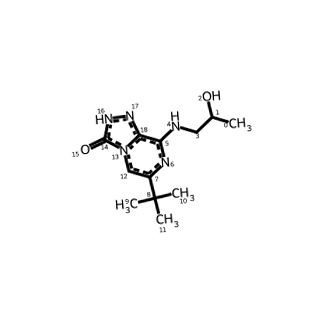 CC(O)CNc1nc(C(C)(C)C)cn2c(=O)[nH]nc12